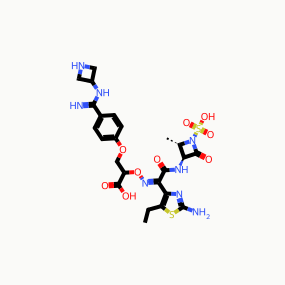 CCc1sc(N)nc1C(=NOC(COc1ccc(C(=N)NC2CNC2)cc1)C(=O)O)C(=O)N[C@@H]1C(=O)N(S(=O)(=O)O)[C@H]1C